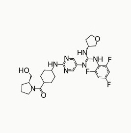 O=C(C1CCC(Nc2ncc(/N=C(/Nc3c(F)cc(F)cc3F)N[C@H]3CCOC3)cn2)CC1)N1CCC[C@H]1CO